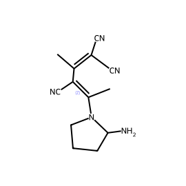 CC(=C(C#N)C#N)/C(C#N)=C(\C)N1CCCC1N